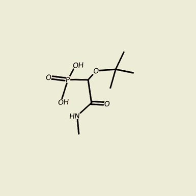 CNC(=O)C(OC(C)(C)C)P(=O)(O)O